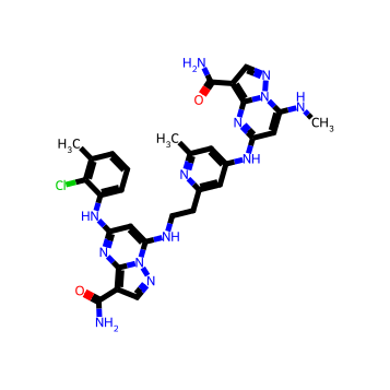 CNc1cc(Nc2cc(C)nc(CCNc3cc(Nc4cccc(C)c4Cl)nc4c(C(N)=O)cnn34)c2)nc2c(C(N)=O)cnn12